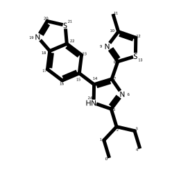 CCC(CC)c1nc(-c2nc(C)cs2)c(-c2ccc3ncsc3c2)[nH]1